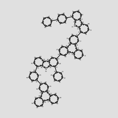 c1ccc(-c2ccc(-c3cccc4c3sc3c(-c5ccc6c7ccc(-c8cc(-c9ccccc9)c9sc%10c(-c%11cccc(-c%12ccc%13c%14ccccc%14c%14ccccc%14c%13c%12)c%11)cccc%10c9c8)cc7c7ccccc7c6c5)cccc34)cc2)cc1